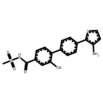 CS(=O)(=O)NC(=O)c1ccc(-c2ccc(-c3sccc3N)cc2)c(C#N)c1